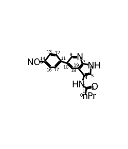 CCCC(=O)Nc1c[nH]c2ncc(-c3ccc(C#N)cc3)cc12